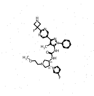 COCCN1C[C@@H](n2ccc(F)c2)[C@H](NC(=O)Nc2c(C)c(-c3cnc(C4(F)CNC4)nc3)nn2-c2ccccc2)C1